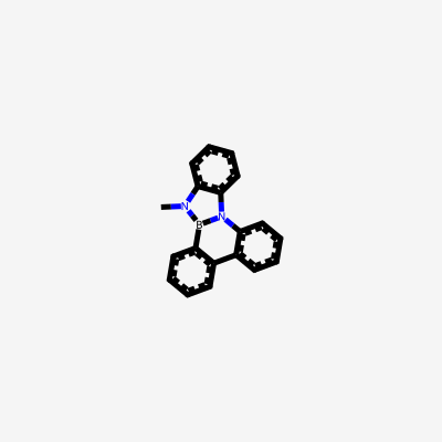 CN1B2c3ccccc3-c3ccccc3N2c2ccccc21